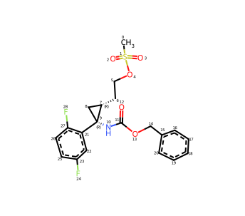 CS(=O)(=O)OCC[C@H]1C[C@]1(NC(=O)OCc1ccccc1)c1cc(F)ccc1F